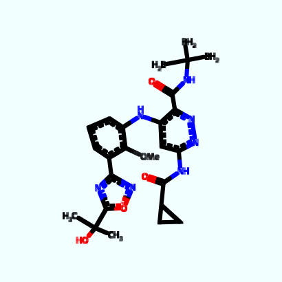 BC(B)(B)NC(=O)c1nnc(NC(=O)C2CC2)cc1Nc1cccc(-c2noc(C(C)(C)O)n2)c1OC